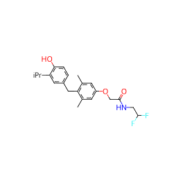 Cc1cc(OCC(=O)NCC(F)F)cc(C)c1Cc1ccc(O)c(C(C)C)c1